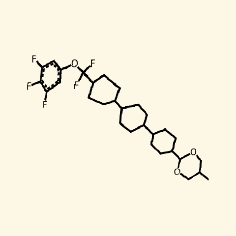 CC1COC(C2CCC(C3CCC(C4CCC(C(F)(F)Oc5cc(F)c(F)c(F)c5)CC4)CC3)CC2)OC1